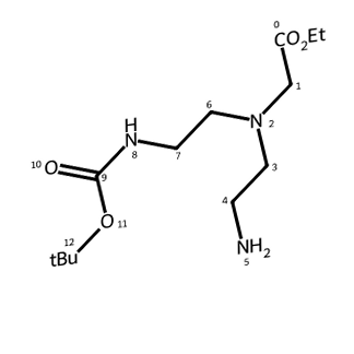 CCOC(=O)CN(CCN)CCNC(=O)OC(C)(C)C